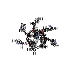 O=C(O)/C=C\C(=O)NCCNCC1OC2OC3C(CNCCNC(=O)/C=C\C(=O)O)OC(OC4C(CNCCNC(=O)/C=C\C(=O)O)OC(OC5C(CNCCNC(=O)/C=C\C(=O)O)OC(OC6C(CNCCNC(=O)/C=C\C(=O)O)OC(OC7C(CNCCNC(=O)/C=C\C(=O)O)OC(OC8C(CNCCNC(=O)/C=C\C(=O)O)OC(OC1C(O)C2O)C(O)C8O)C(O)C7O)C(O)C6O)C(O)C5O)C(O)C4O)C(O)C3O